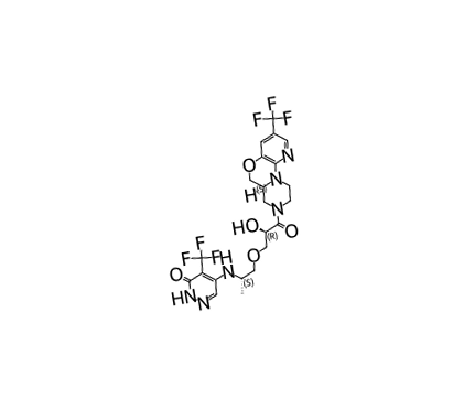 C[C@@H](COC[C@@H](O)C(=O)N1CCN2c3ncc(C(F)(F)F)cc3OC[C@@H]2C1)Nc1cn[nH]c(=O)c1C(F)(F)F